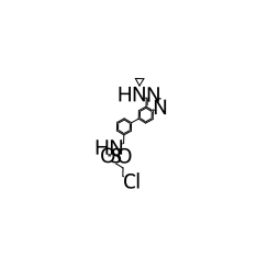 O=S(=O)(CCCCl)NCc1cccc(-c2ccc3ncnc(NC4CC4)c3c2)c1